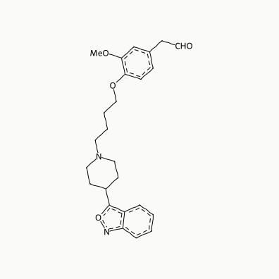 COc1cc(CC=O)ccc1OCCCCN1CCC(c2onc3ccccc23)CC1